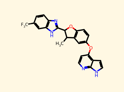 CC1c2cc(Oc3ccnc4[nH]ccc34)ccc2OC1c1nc2ccc(C(F)(F)F)cc2[nH]1